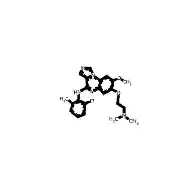 COc1cc2c(cc1OCCN(C)C)nc(Nc1c(C)cccc1Cl)c1cncn12